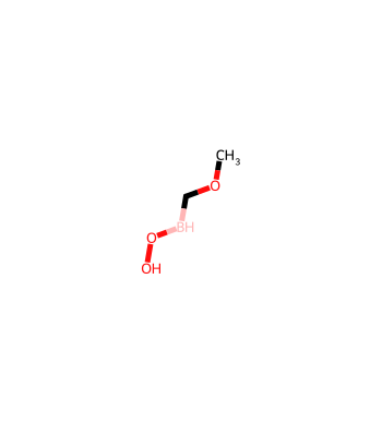 COCBOO